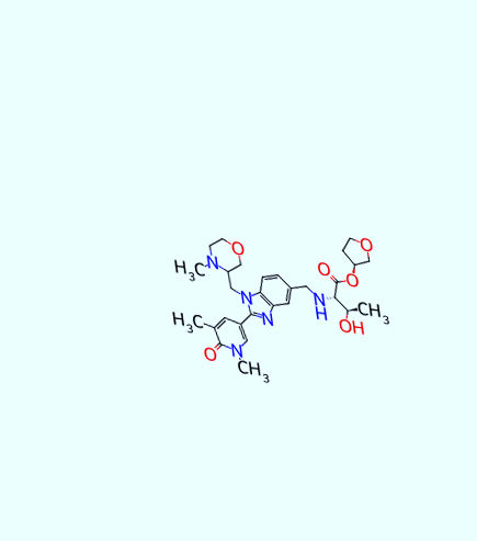 Cc1cc(-c2nc3cc(CN[C@H](C(=O)O[C@H]4CCOC4)[C@@H](C)O)ccc3n2CC2COCCN2C)cn(C)c1=O